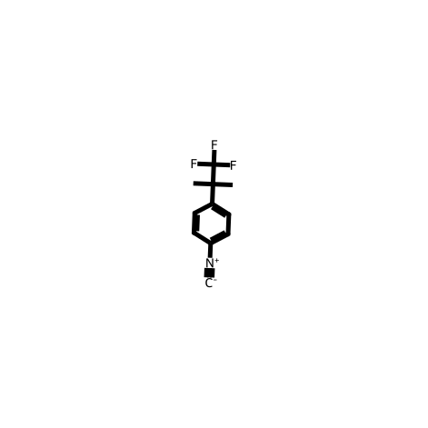 [C-]#[N+]c1ccc(C(C)(C)C(F)(F)F)cc1